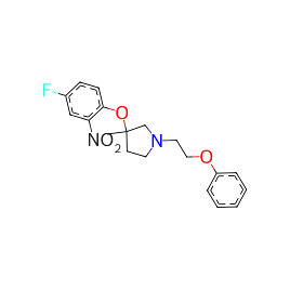 CC1(Oc2ccc(F)cc2[N+](=O)[O-])CCN(CCOc2ccccc2)C1